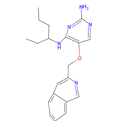 CCCC(CC)Nc1nc(N)ncc1OCc1cc2ccccc2cn1